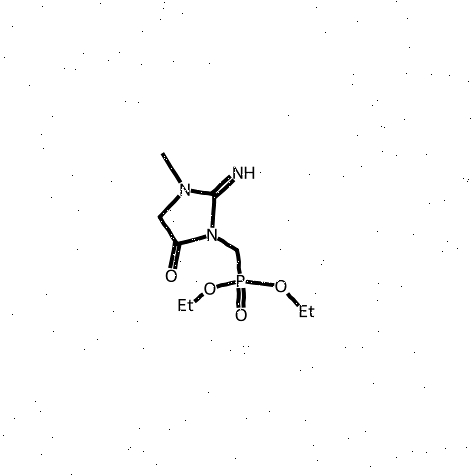 CCOP(=O)(CN1C(=N)N(C)CC1=O)OCC